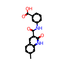 Cc1ccc2cc(C(=O)Nc3cccc(C(=O)O)c3)c(=O)[nH]c2c1